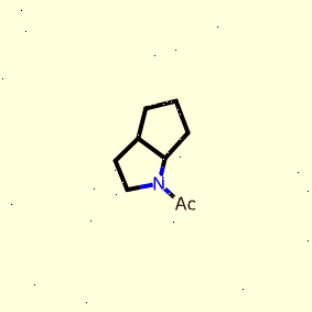 CC(=O)N1CCC2CCCC21